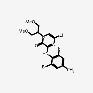 COCC(COC)n1cc(Cl)nc(Nc2c(F)cc(C)cc2Br)c1=O